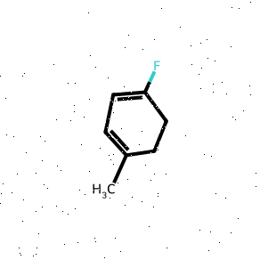 CC1=CC=C(F)CC1